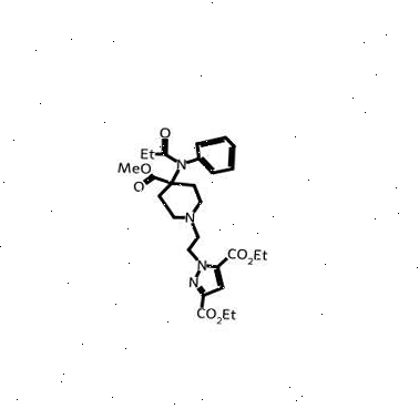 CCOC(=O)c1cc(C(=O)OCC)n(CCN2CCC(C(=O)OC)(N(C(=O)CC)c3ccccc3)CC2)n1